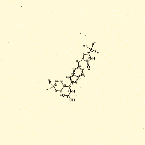 O=C(O)N[C@H](c1cn2ncc(CC3C[C@@H](C(F)(F)F)NC3=O)cc2n1)C1CCC(F)(F)CC1